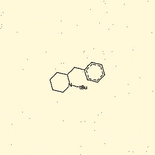 CC(C)(C)N1CCCCC1Cc1ccccc1